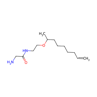 C=CCCCCCC(C)OCCNC(=O)CN